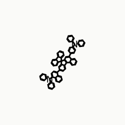 c1ccc(N(c2ccccc2)c2ccc(-c3cc4c(c5ccccc35)-c3ccc(-c5ccc(N(c6ccccc6)c6ccccc6)c6ccccc56)cc3C43c4ccccc4-c4ccccc43)cc2)cc1